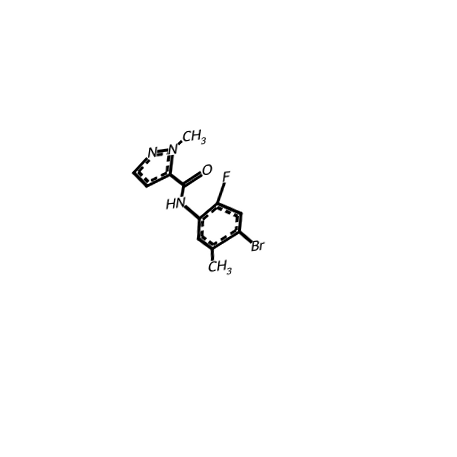 Cc1cc(NC(=O)c2ccnn2C)c(F)cc1Br